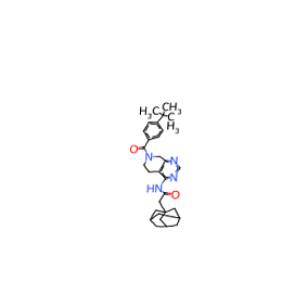 CC(C)(C)c1ccc(C(=O)N2CCc3c(ncnc3NC(=O)CC34CC5CC(CC(C5)C3)C4)C2)cc1